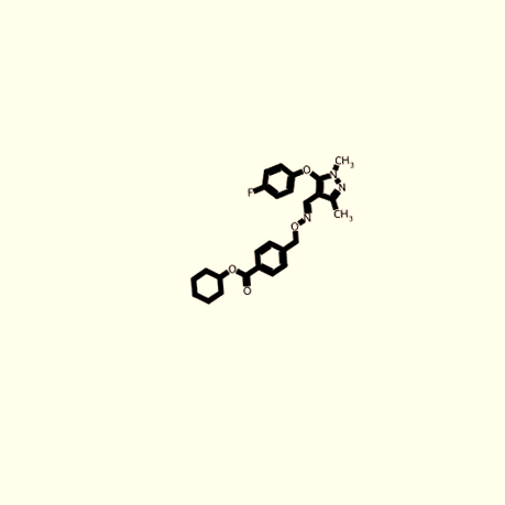 Cc1nn(C)c(Oc2ccc(F)cc2)c1C=NOCc1ccc(C(=O)OC2CCCCC2)cc1